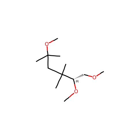 COC[C@H](OC)C(C)(C)CC(C)(C)OC